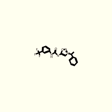 CC(c1ccccc1)[n+]1cc([N-]C(=O)Nc2cccc(C(F)(F)F)c2)on1